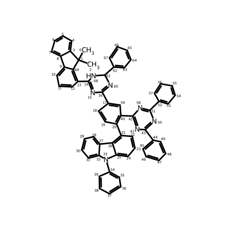 CC1(C)c2ccccc2-c2cccc(C3=NC(c4ccc(-c5cccc6c5c5ccccc5n6-c5ccccc5)c(-c5nc(-c6ccccc6)nc(-c6ccccc6)n5)c4)=NC(c4ccccc4)N3)c21